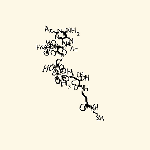 CC(=O)c1nc(N)c2nc(C(C)=O)n([C@@H]3O[C@H](COP(=O)(O)OP(=O)(O)OCC(C)(C)[C@@H](O)C(=O)NCCC(=O)NCCS)[C@@H](OP(=O)(O)O)[C@H]3O)c2n1